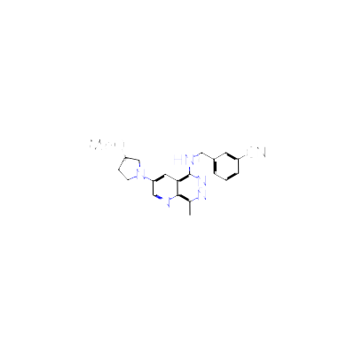 CO[C@H]1CCN(c2cnc3c(C)nnc(N[C@H](C)c4cccc(C#N)c4)c3c2)C1